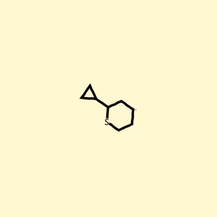 [CH]1CCSC(C2CC2)C1